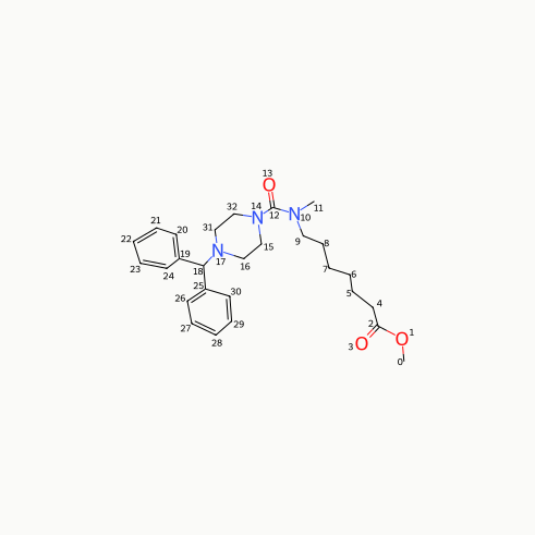 COC(=O)CCCCCCN(C)C(=O)N1CCN(C(c2ccccc2)c2ccccc2)CC1